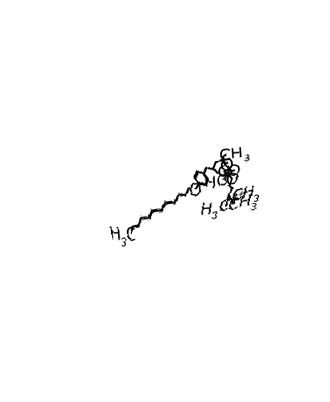 CCCCCCCCCCCCOc1ccc(CC(COP(=O)(O)OCCC[N+](C)(C)C)CC(C)=O)cc1